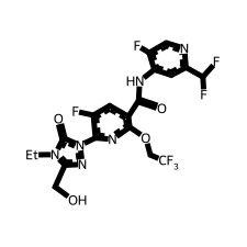 CCn1c(CO)nn(-c2nc(OCC(F)(F)F)c(C(=O)Nc3cc(C(F)F)ncc3F)cc2F)c1=O